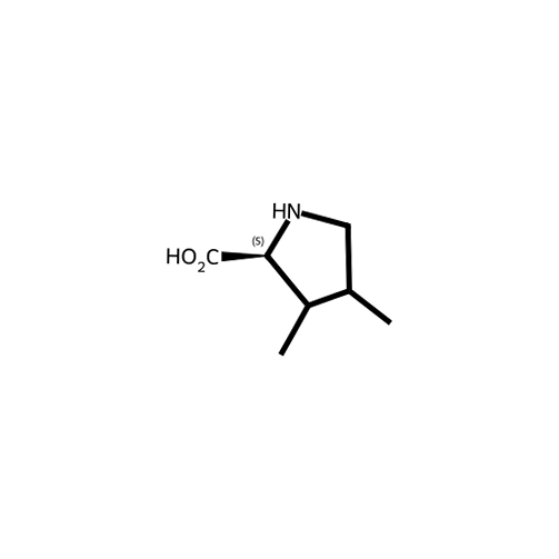 CC1CN[C@H](C(=O)O)C1C